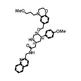 COCCCN1CCOc2ccc(CO[C@H]3CN[C@H](CC(=O)NCc4ccc5ccccc5n4)C[C@@H]3c3ccc(OC)cc3)cc21